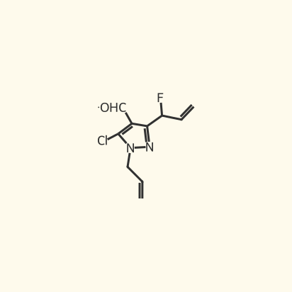 C=CCn1nc(C(F)C=C)c([C]=O)c1Cl